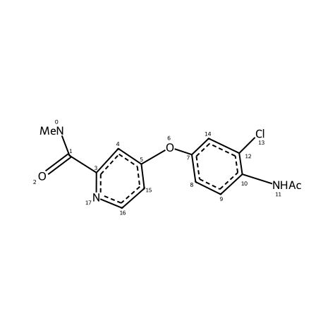 CNC(=O)c1cc(Oc2ccc(NC(C)=O)c(Cl)c2)ccn1